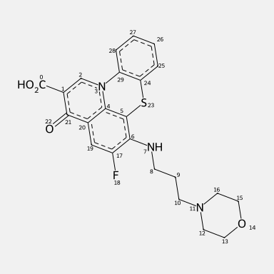 O=C(O)c1cn2c3c(c(NCCCN4CCOCC4)c(F)cc3c1=O)Sc1ccccc1-2